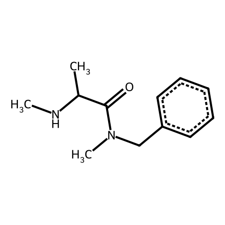 CNC(C)C(=O)N(C)Cc1ccccc1